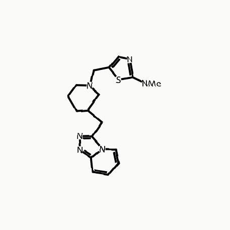 CNc1ncc(CN2CCCC(Cc3nnc4ccccn34)C2)s1